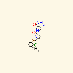 Cc1cccc(SCc2cccc(C(=O)N3CCCC(C(N)=O)C3)n2)c1Cl